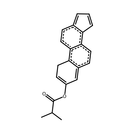 CC(C)C(=O)OC1=CCc2c(ccc3c4c(ccc23)=CC=C4)=C1